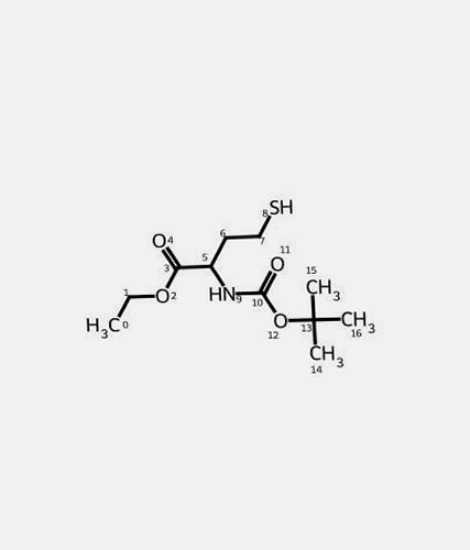 CCOC(=O)C(CCS)NC(=O)OC(C)(C)C